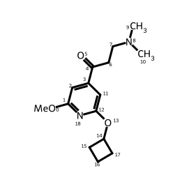 COc1cc(C(=O)CCN(C)C)cc(OC2CCC2)n1